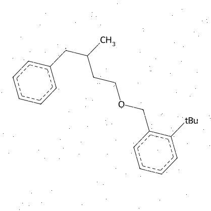 CC([CH]c1ccccc1)CCOCc1ccccc1C(C)(C)C